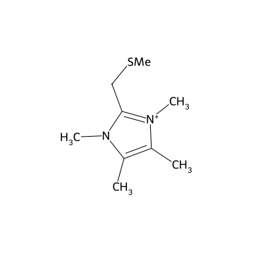 CSCc1n(C)c(C)c(C)[n+]1C